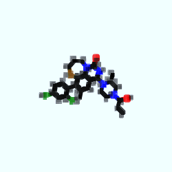 C=CC(=O)N1CCN(c2nc(=O)n3c4c(c(-c5ccc(F)cc5F)c(C)cc24)SCCC3)[C@@H](C)C1